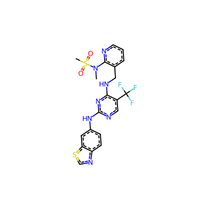 CN(c1ncccc1CNc1nc(Nc2ccc3ncsc3c2)ncc1C(F)(F)F)S(C)(=O)=O